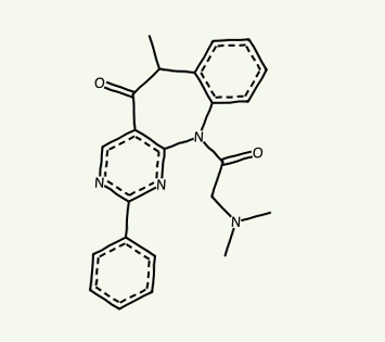 CC1C(=O)c2cnc(-c3ccccc3)nc2N(C(=O)CN(C)C)c2ccccc21